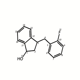 OC1CC(Cc2ccccc2F)c2ccccc21